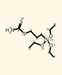 CCO[Si](CCCSC(N)=S)(OCC)OCC